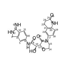 N=C1NCc2cc(NC(=O)[C@H](O)C3OCCN(c4ccc5c(c4)CCC(=O)N5)C3=O)ccc21